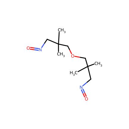 CC(C)(CN=O)COCC(C)(C)CN=O